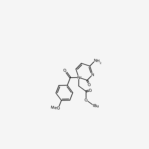 COc1ccc(C(=O)[N+]2(CC(=O)OC(C)(C)C)C=CC(N)=NC2=O)cc1